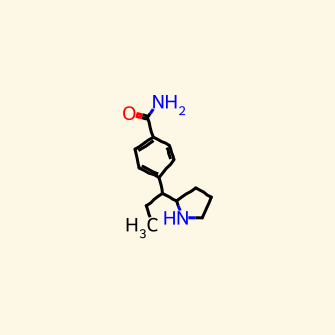 CCC(c1ccc(C(N)=O)cc1)C1CCCN1